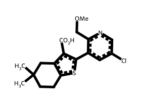 COCc1ncc(Cl)cc1-c1sc2c(c1C(=O)O)CC(C)(C)CC2